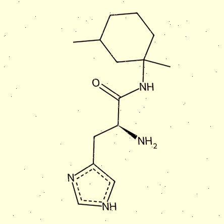 CC1CCCC(C)(NC(=O)[C@@H](N)Cc2c[nH]cn2)C1